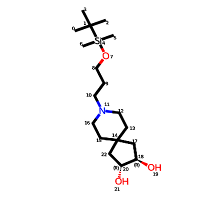 CC(C)(C)[Si](C)(C)OCCCN1CCC2(CC1)C[C@@H](O)[C@H](O)C2